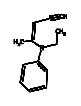 C#C/C=C(/C)N(CC)c1ccccc1